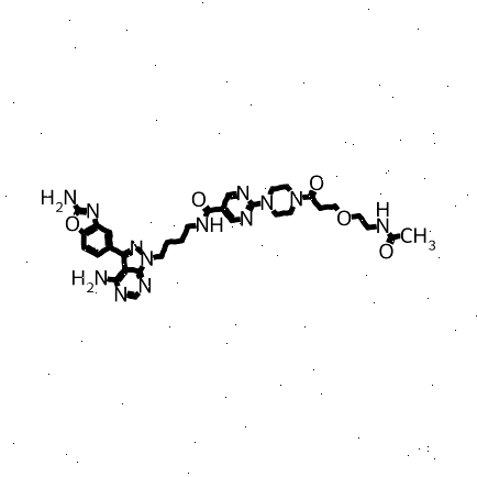 CC(=O)NCCOCCC(=O)N1CCN(c2ncc(C(=O)NCCCCn3nc(-c4ccc5oc(N)nc5c4)c4c(N)ncnc43)cn2)CC1